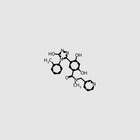 Cc1ccccc1-n1c(O)nnc1-c1cc(C(=O)N(C)Cc2cccnc2)c(O)cc1O